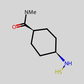 CNC(=O)[C@H]1CC[C@@H](NS)CC1